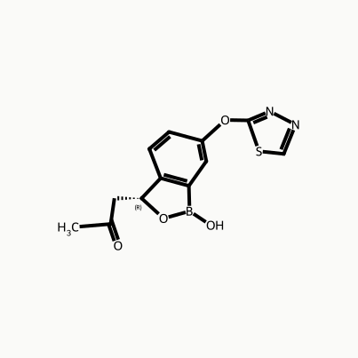 CC(=O)C[C@H]1OB(O)c2cc(Oc3nncs3)ccc21